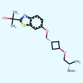 CC(=O)N[C@@H](C)CO[C@H]1C[C@H](COc2ccc3nc(C(C)(C)O)sc3c2)C1